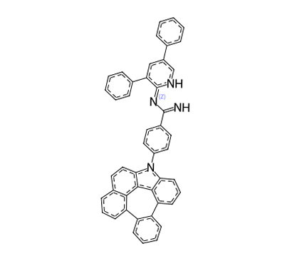 N=C(/N=c1\[nH]cc(-c2ccccc2)cc1-c1ccccc1)c1ccc(-n2c3cccc4c3c3c5c(cccc5ccc32)-c2ccccc2-4)cc1